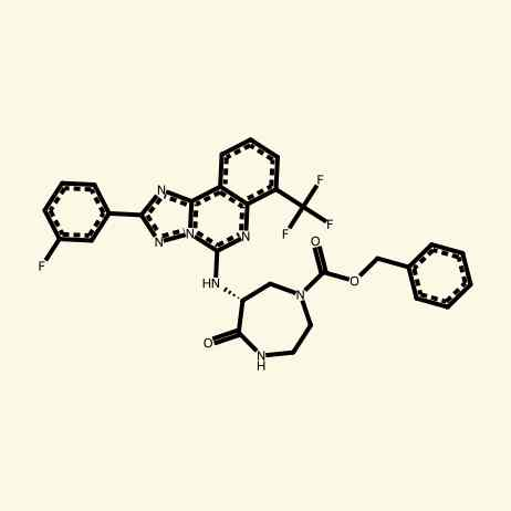 O=C1NCCN(C(=O)OCc2ccccc2)C[C@H]1Nc1nc2c(C(F)(F)F)cccc2c2nc(-c3cccc(F)c3)nn12